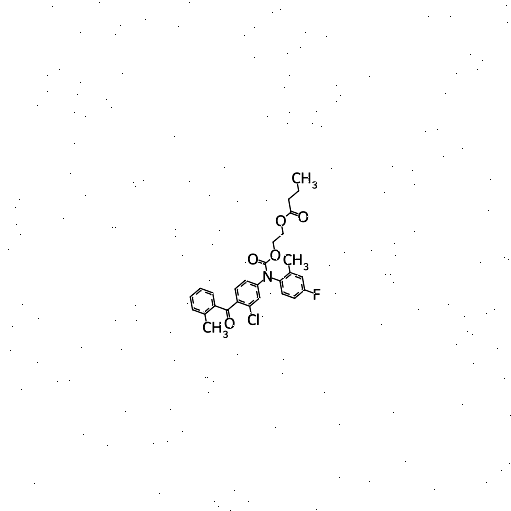 CCCC(=O)OCCOC(=O)N(c1ccc(C(=O)c2ccccc2C)c(Cl)c1)c1ccc(F)cc1C